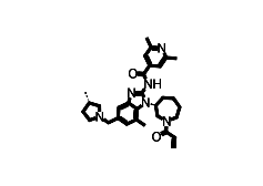 C=CC(=O)N1CCCC[C@@H](n2c(NC(=O)c3cc(C)nc(C)c3)nc3cc(CN4CC[C@H](C)C4)cc(C)c32)C1